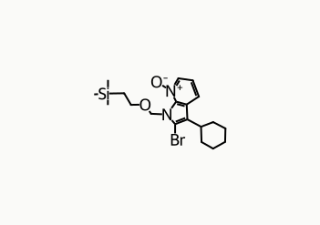 C[Si](C)(C)CCOCn1c(Br)c(C2CCCCC2)c2ccc[n+]([O-])c21